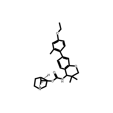 CCOc1ccc(-c2ccc3c(c2)OCC(C)(C)C3NC(=O)O[C@H]2CN3CCC2CC3)c(C)c1